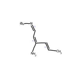 C/C=C/C(N)=C\C=N/C(C)CC